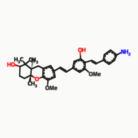 COc1cc(/C=C/c2cc3c(c(OC)c2)O[C@]2(C)CC[C@@H](O)C(C)(C)[C@H]2C3)cc(O)c1/C=C/c1ccc(N)cc1